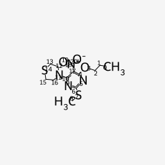 CCCOc1nc(SC)nc(N2CCSCC2)c1[N+](=O)[O-]